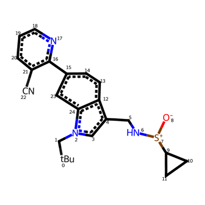 CC(C)(C)Cn1cc(CN[S+]([O-])C2CC2)c2ccc(-c3ncccc3C#N)cc21